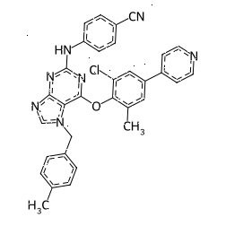 Cc1ccc(Cn2cnc3nc(Nc4ccc(C#N)cc4)nc(Oc4c(C)cc(-c5ccncc5)cc4Cl)c32)cc1